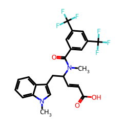 CN(C(=O)c1cc(C(F)(F)F)cc(C(F)(F)F)c1)C(C=CC(=O)O)Cc1cn(C)c2ccccc12